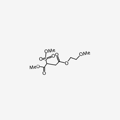 COCCOC(=O)CC(C(=O)OC)S(=O)(=O)OC